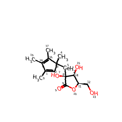 CC1=[C][C](C)([GeH2][C@@]2(O)C(=O)O[C@H](CO)[C@@H]2O)C(C)=C1C